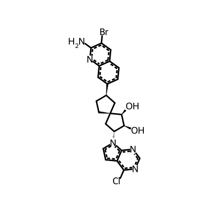 Nc1nc2cc([C@@H]3CC[C@]4(C3)C[C@@H](n3ccc5c(Cl)ncnc53)[C@H](O)[C@@H]4O)ccc2cc1Br